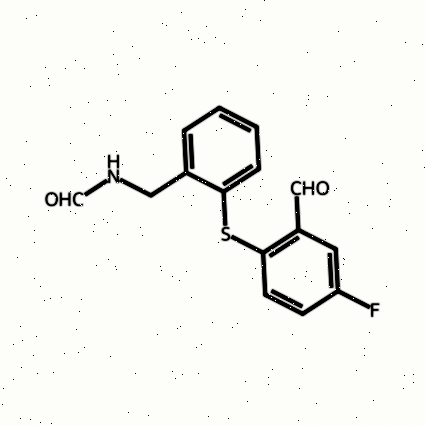 O=CNCc1ccccc1Sc1ccc(F)cc1C=O